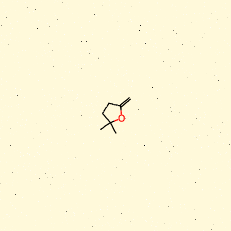 C=C1CCC(C)(C)O1